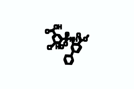 COC(=O)c1ccc(-c2ccccc2)cc1NS(=O)(=O)c1cc(C(=O)O)cc(Cl)c1O